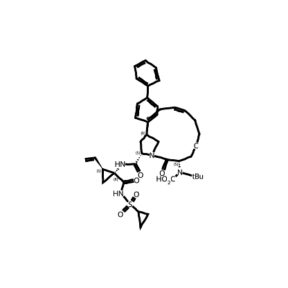 C=C[C@@H]1C[C@]1(NC(=O)[C@@H]1C[C@@]2(c3ccc(-c4ccccc4)cc3)CN1C(=O)[C@@H](N(C(=O)O)C(C)(C)C)CCCCC=CCS2)C(=O)NS(=O)(=O)C1CC1